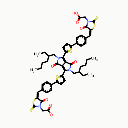 CCCCC(CC)CN1C(=O)C2=C(c3ccc(-c4ccc(/C=C5/SC(=S)N(CC(=O)O)C5=O)cc4)s3)N(CC(CC)CCCC)C(=O)C2=C1c1ccc(-c2ccc(/C=C3/SC(=S)N(CC(=O)O)C3=O)cc2)s1